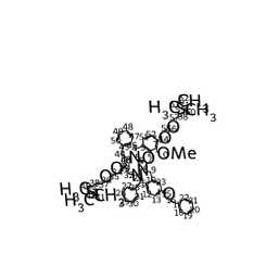 COc1cc(CN2C(=O)N(Cc3cccc(OCc4ccccc4)c3)N(Cc3ccccc3)C[C@@H](OCOCC[Si](C)(C)C)[C@H]2Cc2ccccc2)ccc1OCOCC[Si](C)(C)C